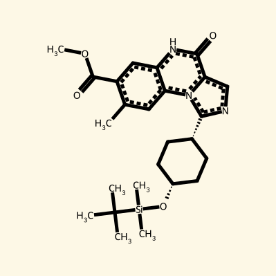 COC(=O)c1cc2[nH]c(=O)c3cnc([C@H]4CC[C@@H](O[Si](C)(C)C(C)(C)C)CC4)n3c2cc1C